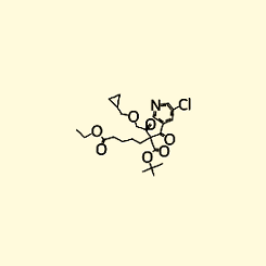 CCOC(=O)CCCCC(C(=O)COCC1CC1)(C(=O)OC(C)(C)C)C(=O)c1cncc(Cl)c1